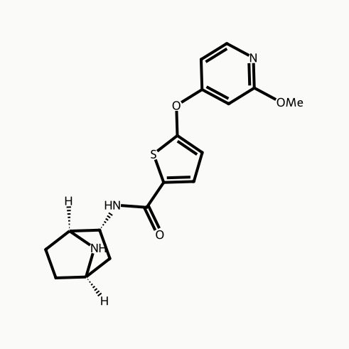 COc1cc(Oc2ccc(C(=O)N[C@@H]3C[C@H]4CC[C@@H]3N4)s2)ccn1